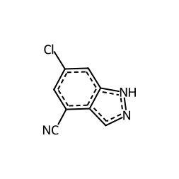 N#Cc1cc(Cl)cc2[nH]ncc12